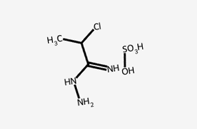 CC(Cl)C(=N)NN.O=S(=O)(O)O